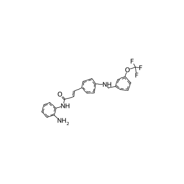 Nc1ccccc1NC(=O)/C=C/c1ccc(NCc2cccc(OC(F)(F)F)c2)cc1